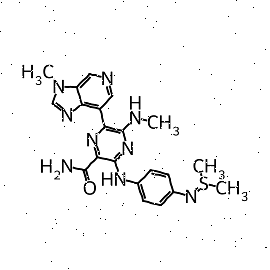 CNc1nc(Nc2ccc(N=S(C)C)cc2)c(C(N)=O)nc1-c1cncc2c1ncn2C